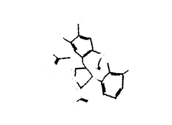 C=C(C)C[C@H]1N[C@@H](C(N)=O)[C@H](c2cccc(Cl)c2F)[C@@]12C(=O)Nc1cc(Cl)c(F)cc12